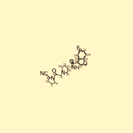 N#C[C@@H]1CCCN1C(=O)CN1CC[C@H](NC(=O)c2coc3ccc(F)cc23)C1